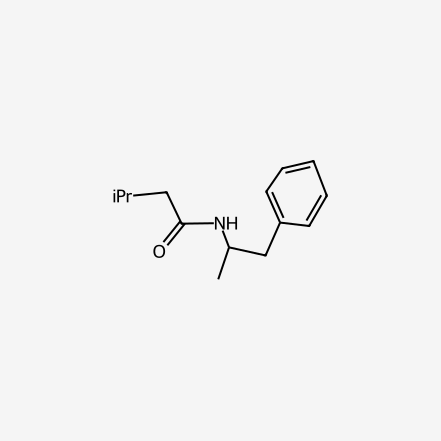 CC(C)CC(=O)NC(C)Cc1ccccc1